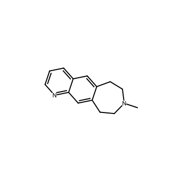 CN1CCc2cc3cccnc3cc2CC1